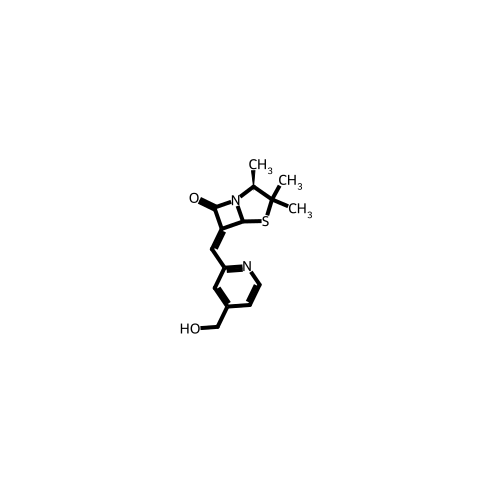 C[C@@H]1N2C(=O)/C(=C/c3cc(CO)ccn3)C2SC1(C)C